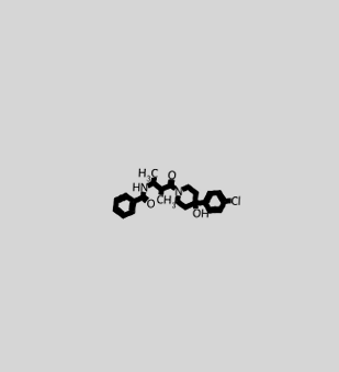 CC(NC(=O)c1ccccc1)C(C)C(=O)N1CCC(O)(c2ccc(Cl)cc2)CC1